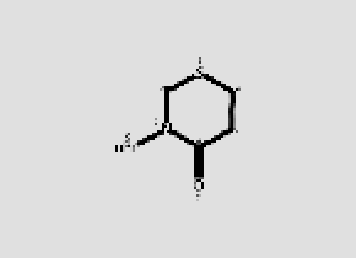 CCCN1[C]SCCC1=O